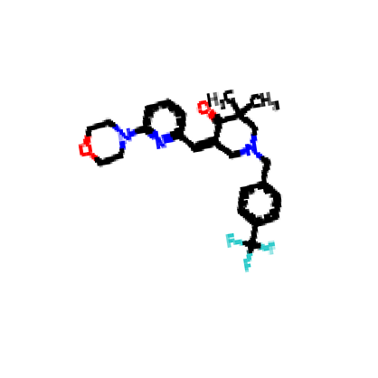 CC1(C)CN(Cc2ccc(C(F)(F)F)cc2)CC(=Cc2cccc(N3CCOCC3)n2)C1=O